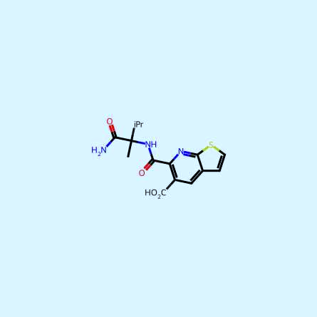 CC(C)C(C)(NC(=O)c1nc2sccc2cc1C(=O)O)C(N)=O